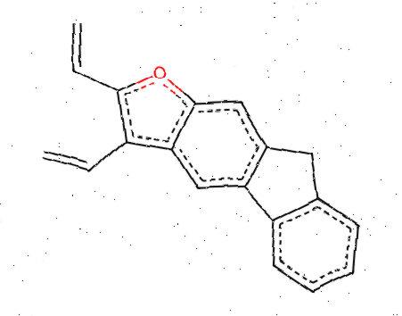 C=Cc1oc2cc3c(cc2c1C=C)-c1ccccc1C3